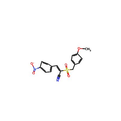 COc1ccc(CS(=O)(=O)C(C#N)=Cc2ccc([N+](=O)[O-])cc2)cc1